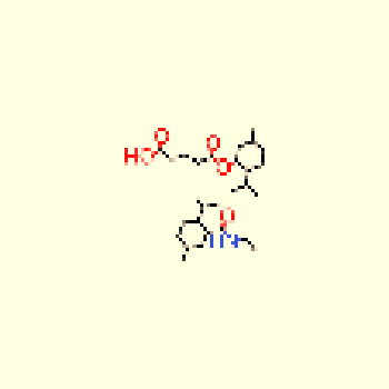 CC1CCC(C(C)C)C(OC(=O)CCCC(=O)O)C1.CCNC(=O)C1CC(C)CCC1C(C)C